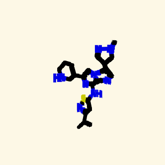 CC(C)c1cc(Nc2nc(C3=CCCNC3)cn3c(C4C=NN(C)C4)cnc23)sn1